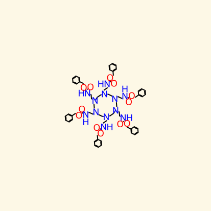 O=C(NCCN1CCN(CCNC(=O)OCc2ccccc2)CCN(CCNC(=O)OCc2ccccc2)CCN(CCNC(=O)OCc2ccccc2)CCN(CCNC(=O)OCc2ccccc2)CCN(CCNC(=O)OCc2ccccc2)CC1)OCc1ccccc1